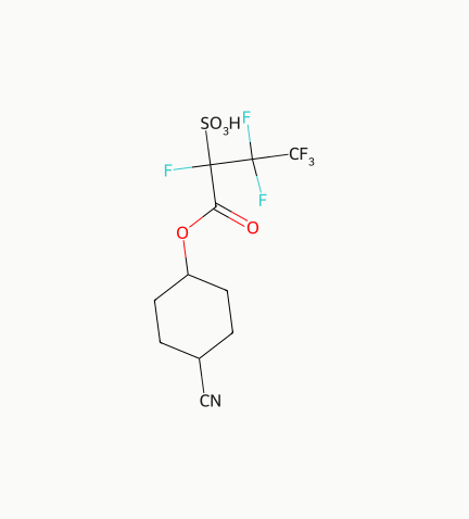 N#CC1CCC(OC(=O)C(F)(C(F)(F)C(F)(F)F)S(=O)(=O)O)CC1